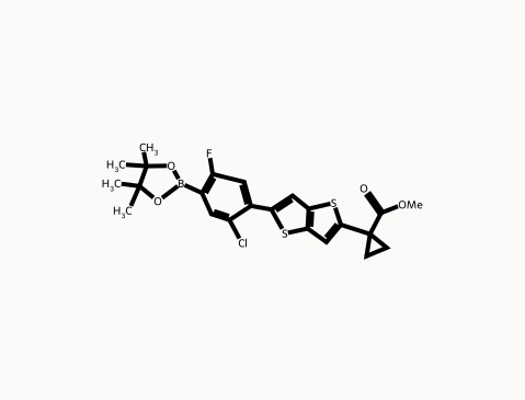 COC(=O)C1(c2cc3sc(-c4cc(F)c(B5OC(C)(C)C(C)(C)O5)cc4Cl)cc3s2)CC1